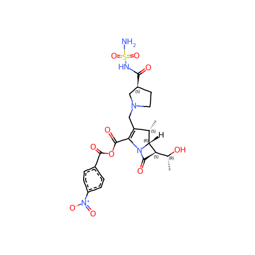 C[C@@H](O)[C@H]1C(=O)N2C(C(=O)OC(=O)c3ccc([N+](=O)[O-])cc3)=C(CN3CC[C@H](C(=O)NS(N)(=O)=O)C3)[C@H](C)[C@H]12